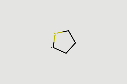 [CH]1CCCS1